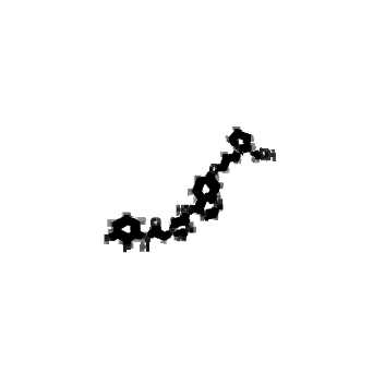 O=C(Cn1cc(Nc2ncnc3cc(OCCCN4CCC[C@@H]4CO)ccc23)nn1)Nc1cccc(F)c1F